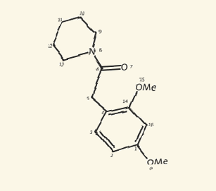 COc1ccc(CC(=O)N2CCCCC2)c(OC)c1